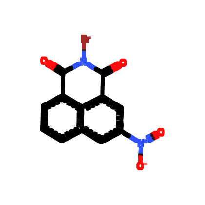 O=C1c2cccc3cc([N+](=O)[O-])cc(c23)C(=O)N1Br